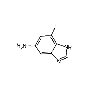 Nc1cc(I)c2[nH]cnc2c1